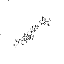 CC(=O)[C@H]1CC[C@H]2[C@@H]3CC[C@H]4C[C@](C)(OC(=O)CNCC(=O)OC(C)(C)C)CC[C@]4(C)[C@H]3CC[C@]12C